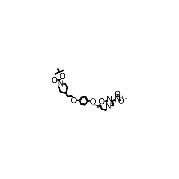 CC(C)(C)OC(=O)N1CCC(CCOc2ccc(OC[C@H]3CCn4cc([N+](=O)[O-])nc4O3)cc2)CC1